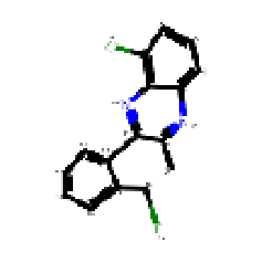 Cc1nc2cccc(Cl)c2nc1-c1ccccc1CF